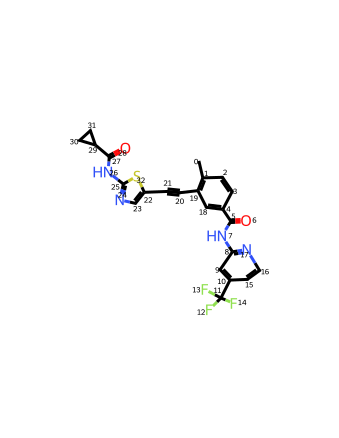 Cc1ccc(C(=O)Nc2cc(C(F)(F)F)ccn2)cc1C#Cc1cnc(NC(=O)C2CC2)s1